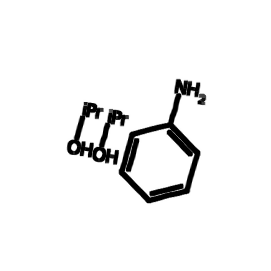 CC(C)O.CC(C)O.Nc1ccccc1